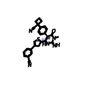 CN1C(=N)N/C(=C2\CC(c3cccc(C#N)c3)=CS2)[C@@H](c2ccc(C3(C#N)CCC3)cc2)C1=O